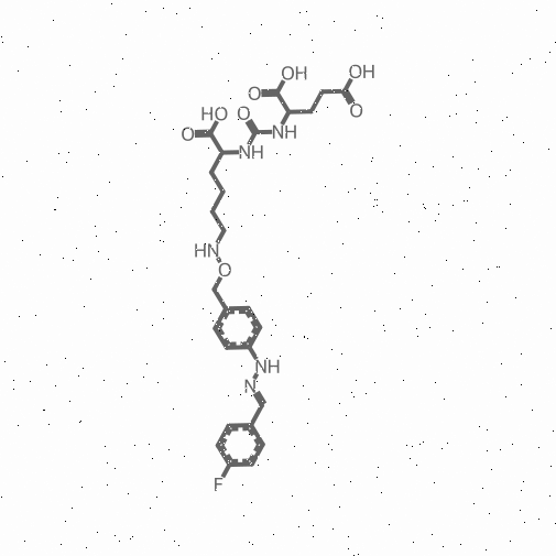 O=C(O)CCC(NC(=O)NC(CCCCNOCc1ccc(NN=Cc2ccc(F)cc2)cc1)C(=O)O)C(=O)O